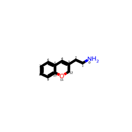 NCCC1=Cc2ccccc2OC1